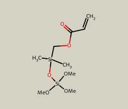 C=CC(=O)OC[Si](C)(C)O[Si](OC)(OC)OC